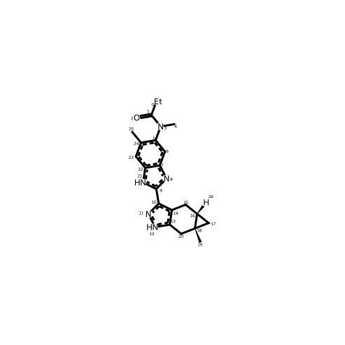 CCC(=O)N(C)c1cc2nc(-c3n[nH]c4c3C[C@@H]3C[C@]3(C)C4)[nH]c2cc1C